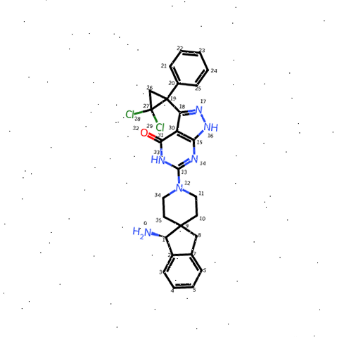 N[C@@H]1c2ccccc2CC12CCN(c1nc3[nH]nc(C4(c5ccccc5)CC4(Cl)Cl)c3c(=O)[nH]1)CC2